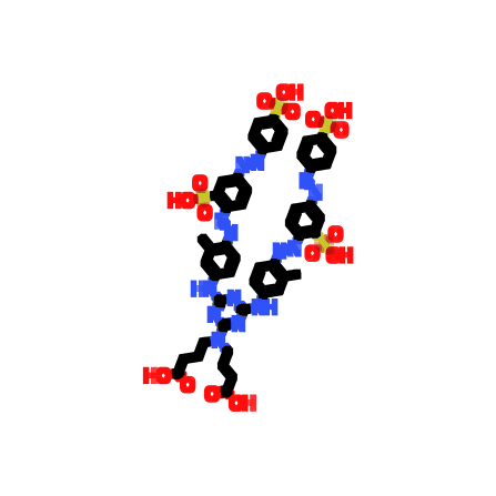 Cc1cc(Nc2nc(Nc3ccc(N=Nc4ccc(N=Nc5ccc(S(=O)(=O)O)cc5)cc4S(=O)(=O)O)c(C)c3)nc(N(CCCC(=O)O)CCCC(=O)O)n2)ccc1N=Nc1ccc(N=Nc2ccc(S(=O)(=O)O)cc2)cc1S(=O)(=O)O